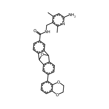 Cc1cc(N)nc(C)c1CNC(=O)c1ccc2c(c1)C1OC2c2cc(-c3cccc4c3OCCO4)ccc21